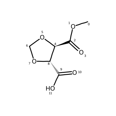 COC(=O)[C@@H]1OCO[C@H]1C(=O)O